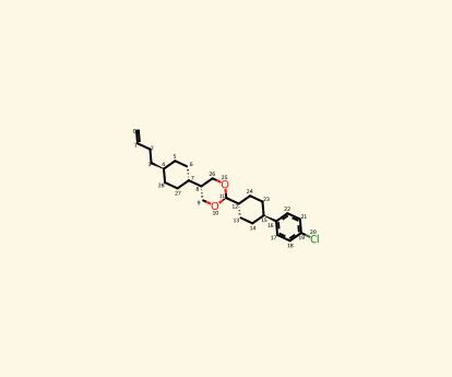 C=CCC[C@H]1CC[C@H]([C@H]2CO[C@H]([C@H]3CC[C@H](c4ccc(Cl)cc4)CC3)OC2)CC1